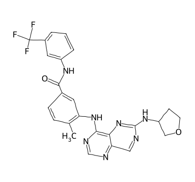 Cc1ccc(C(=O)Nc2cccc(C(F)(F)F)c2)cc1Nc1ncnc2cnc(NC3CCOC3)nc12